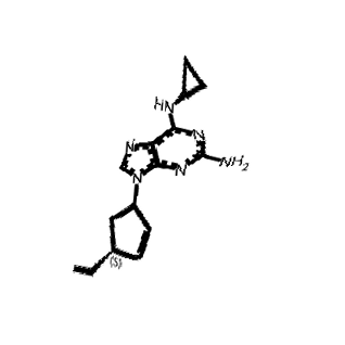 CC[C@@H]1C=CC(n2cnc3c(NC4CC4)nc(N)nc32)C1